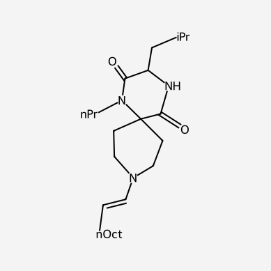 CCCCCCCCC=CN1CCC2(CC1)C(=O)NC(CC(C)C)C(=O)N2CCC